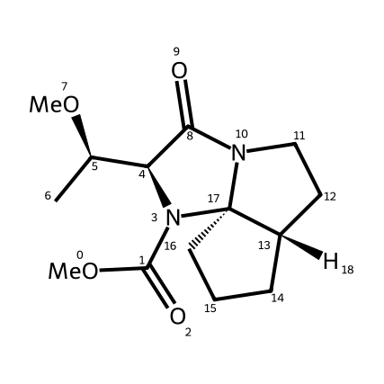 COC(=O)N1[C@@H]([C@@H](C)OC)C(=O)N2CC[C@@H]3CCC[C@@]321